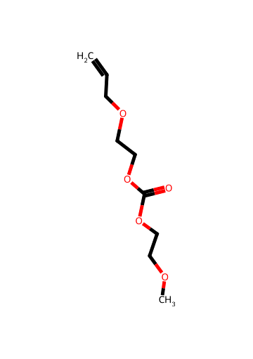 C=CCOCCOC(=O)OCCOC